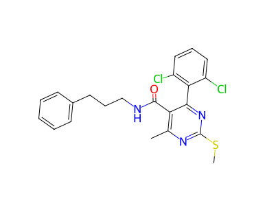 CSc1nc(C)c(C(=O)NCCCc2ccccc2)c(-c2c(Cl)cccc2Cl)n1